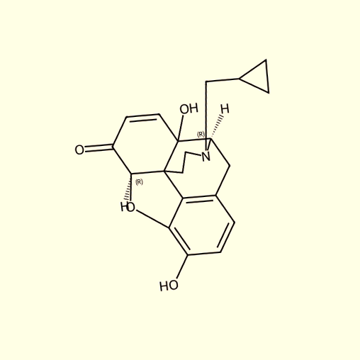 O=C1C=CC2(O)[C@H]3Cc4ccc(O)c5c4C2(CCN3CC2CC2)[C@H]1O5